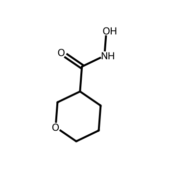 O=C(NO)C1CCCOC1